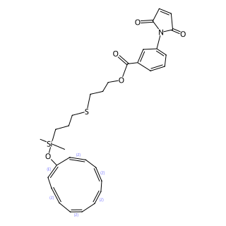 C[Si](C)(CCCSCCCOC(=O)c1cccc(N2C(=O)C=CC2=O)c1)OC1=C/C=C\C=C/C=C\C=C/C=C\1